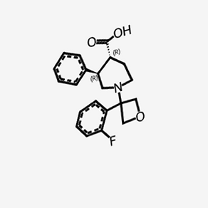 O=C(O)[C@@H]1CCN(C2(c3ccccc3F)COC2)C[C@H]1c1ccccc1